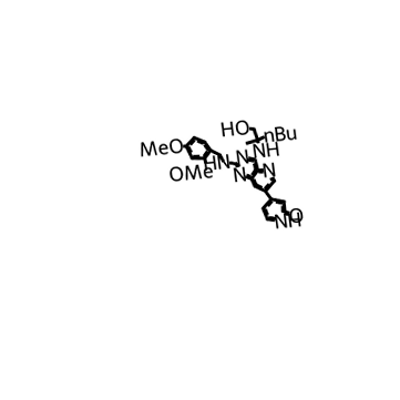 CCCCC(C)(CO)Nc1nc(NCc2ccc(OC)cc2OC)nc2cc(-c3cc[nH]c(=O)c3)cnc12